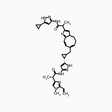 C=Cc1nc([C@@H](C)C(=O)Nc2cc([C@@H]3CC3CC3=C/CCC4C=C(C(C)C(=O)Nc5cc(C6CC6)[nH]n5)N=C4/C=C\3)[nH]n2)cn1C